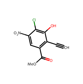 C#Cc1c(C(=O)OC)cc([N+](=O)[O-])c(Cl)c1O